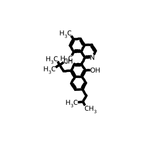 Cc1cc(C)c2c(-c3cc(CC(C)(C)C)c4ccc(CC(C)C)cc4c3O)nccc2c1